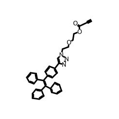 C#CC(=O)OCCOCCn1cc(-c2ccc(C(=C(c3ccccc3)c3ccccc3)c3ccccc3)cc2)nn1